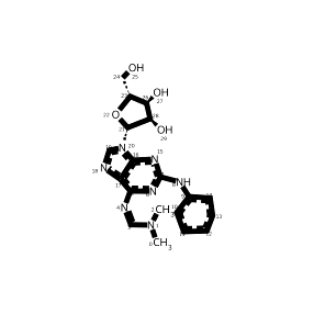 CN(C)/C=N\c1nc(Nc2ccccc2)nc2c1ncn2[C@@H]1O[C@H](CO)[C@@H](O)[C@H]1O